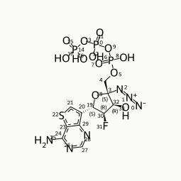 [N-]=[N+]=N[C@@]1(COP(=O)(O)OP(=O)(O)OP(=O)(O)O)O[C@@H](c2csc3c(N)ncnc23)[C@H](F)[C@@H]1O